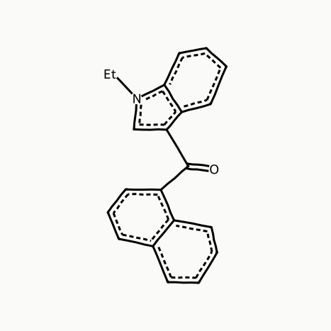 CCn1cc(C(=O)c2cccc3ccccc23)c2ccccc21